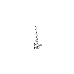 CCCCCCCCOC=C(C(=O)O)N(C)C